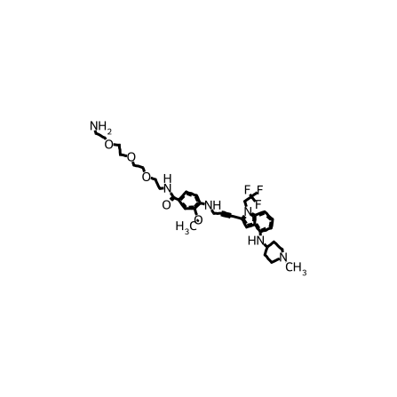 COc1cc(C(=O)NCCOCCOCCOCCN)ccc1NCC#Cc1cc2c(NC3CCN(C)CC3)cccc2n1CC(F)(F)F